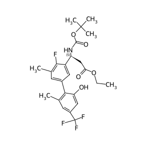 CCOC(=O)C[C@H](NC(=O)OC(C)(C)C)c1cc(-c2c(C)cc(C(F)(F)F)cc2O)cc(C)c1F